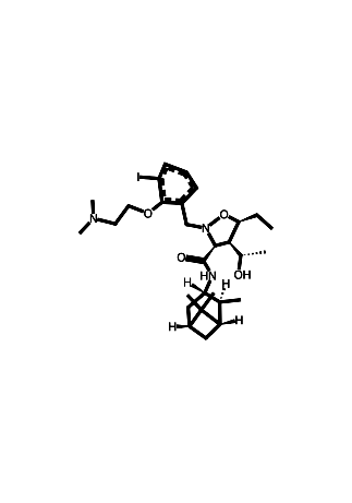 CC[C@@H]1ON(Cc2cccc(I)c2OCCN(C)C)[C@H](C(=O)N[C@H]2C[C@H]3C[C@@H]([C@@H]2C)C3(C)C)[C@@H]1[C@H](C)O